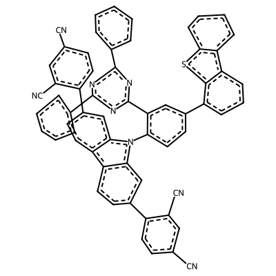 N#Cc1ccc(-c2ccc3c4ccc(-c5ccc(C#N)cc5C#N)cc4n(-c4ccc(-c5cccc6c5sc5ccccc56)cc4-c4nc(-c5ccccc5)nc(-c5ccccc5)n4)c3c2)c(C#N)c1